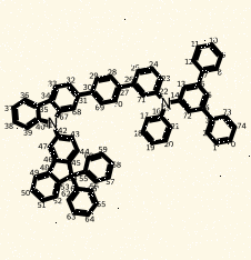 c1ccc(-c2cc(-c3ccccc3)cc(N(c3ccccc3)c3cccc(-c4ccc(-c5ccc6c7ccccc7n(-c7ccc8c(c7)-c7ccccc7C8(c7ccccc7)c7ccccc7)c6c5)cc4)c3)c2)cc1